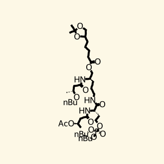 CCCCO[C@H](C)CC(=O)N[C@H](CCCNC(=O)[C@H](CCOP(=O)(OCCCC)OCCCC)NC(=O)C[C@@H](C)OC(C)=O)COC(=O)CCCCC1COC(C)(C)O1